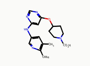 COc1ncc(Nc2cc(OC3CCN(C(=O)O)CC3)ncn2)cc1C